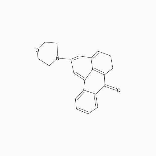 O=C1C2=c3c(cc(N4CCOCC4)cc3=CCC2)-c2ccccc21